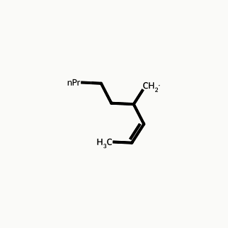 [CH2]C(/C=C\C)CCCCC